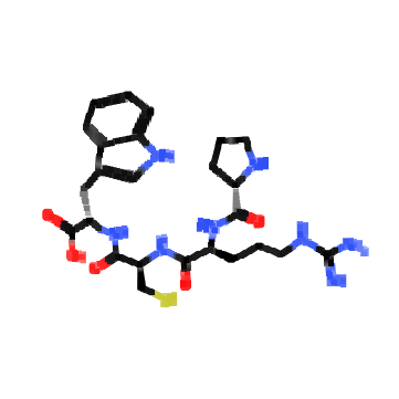 N=C(N)NCCC[C@H](NC(=O)[C@@H]1CCCN1)C(=O)N[C@@H](CS)C(=O)N[C@@H](Cc1c[nH]c2ccccc12)C(=O)O